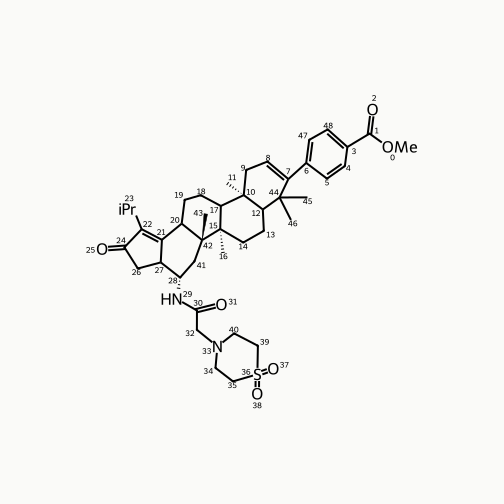 COC(=O)c1ccc(C2=CC[C@@]3(C)C(CC[C@]4(C)C3CCC3C5=C(C(C)C)C(=O)CC5[C@@H](NC(=O)CN5CCS(=O)(=O)CC5)C[C@]34C)C2(C)C)cc1